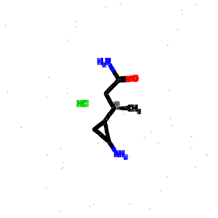 C[C@@H](CC(N)=O)C1CC1N.Cl